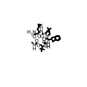 CNC(=O)OCC(NC(=O)N[C@H](C(=O)N1CC2C([C@H]1C(=O)NC(CC1CC1)C(=O)C(N)=O)C2(C)C)C1Cc2ccccc2C1)C(C)(C)C